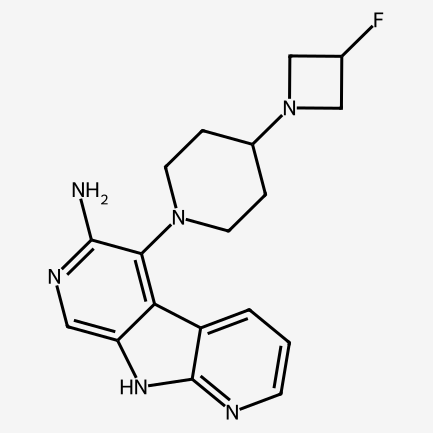 Nc1ncc2[nH]c3ncccc3c2c1N1CCC(N2CC(F)C2)CC1